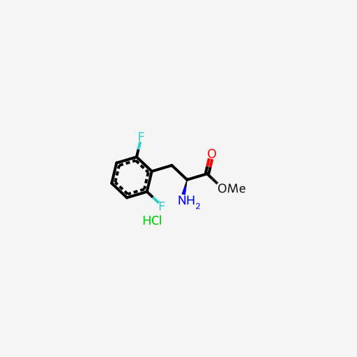 COC(=O)[C@@H](N)Cc1c(F)cccc1F.Cl